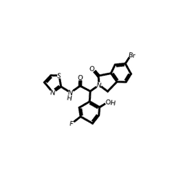 O=C(Nc1nccs1)C(c1cc(F)ccc1O)N1Cc2ccc(Br)cc2C1=O